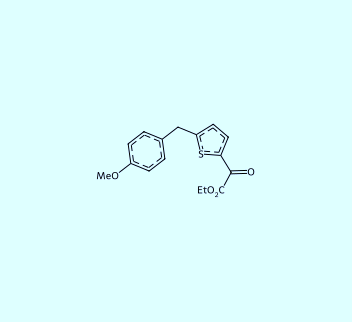 CCOC(=O)C(=O)c1ccc(Cc2ccc(OC)cc2)s1